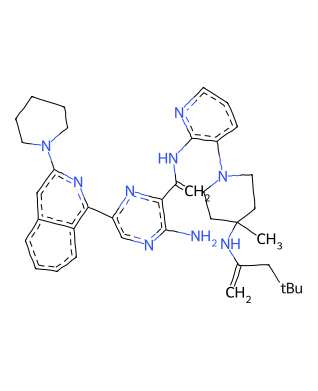 C=C(CC(C)(C)C)NC1(C)CCN(c2cccnc2NC(=C)c2nc(-c3nc(N4CCCCC4)cc4ccccc34)cnc2N)CC1